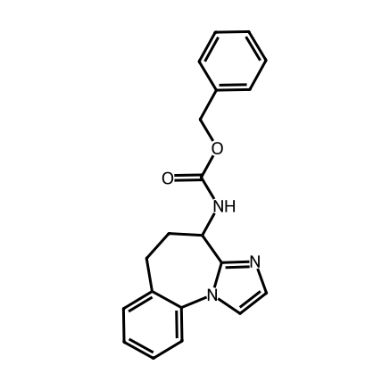 O=C(NC1CCc2ccccc2-n2ccnc21)OCc1ccccc1